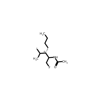 CCCC[C@@H](C(C)I)C(CF)NC(C)=O